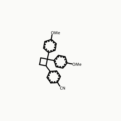 COc1ccc(C2(c3ccc(OC)cc3)CCC2c2ccc(C#N)cc2)cc1